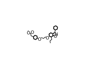 CCCc1c(OCCCOc2ccc(CC(=O)OC)cc2)ccc2c(-c3ccccc3)noc12